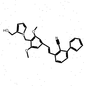 COc1cc(C=Cc2cccc(-c3ccccc3)c2C#N)cc(OC)c1Cn1cccc1CO